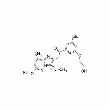 CCOc1cc(C)c2nn(CC(=O)c3cc(OCCO)cc(C(C)(C)C)c3)/c(=N\C)n2n1